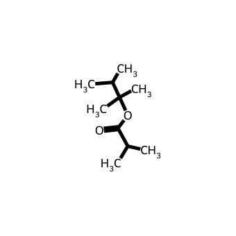 CC(C)C(=O)OC(C)(C)C(C)C